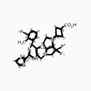 CCOC(=O)C1=C(CN2CC(F)(F)C3C2CCN3C2CC(C(=O)O)C2)NC(c2nccs2)=NC1c1cccc(F)c1C